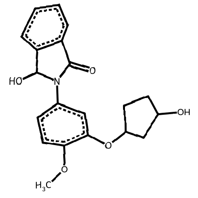 COc1ccc(N2C(=O)c3ccccc3C2O)cc1OC1CCC(O)C1